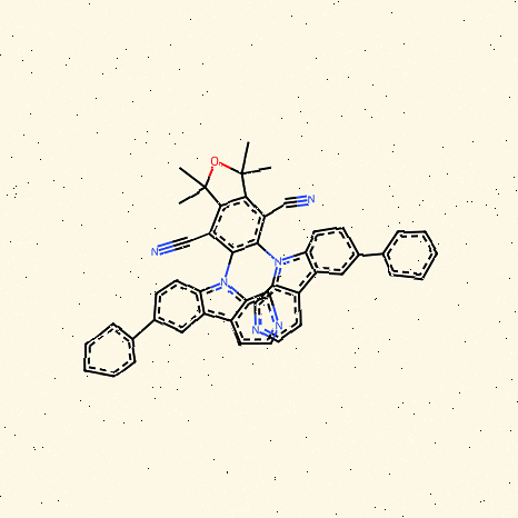 CC1(C)OC(C)(C)c2c(C#N)c(-n3c4ccc(-c5ccccc5)cc4c4ccncc43)c(-n3c4ccc(-c5ccccc5)cc4c4ccncc43)c(C#N)c21